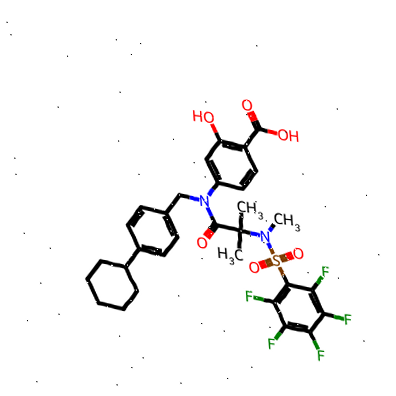 CN(C(C)(C)C(=O)N(Cc1ccc(C2CCCCC2)cc1)c1ccc(C(=O)O)c(O)c1)S(=O)(=O)c1c(F)c(F)c(F)c(F)c1F